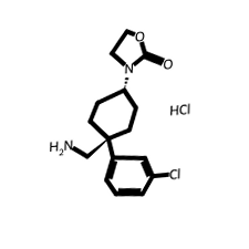 Cl.NC[C@]1(c2cccc(Cl)c2)CC[C@@H](N2CCOC2=O)CC1